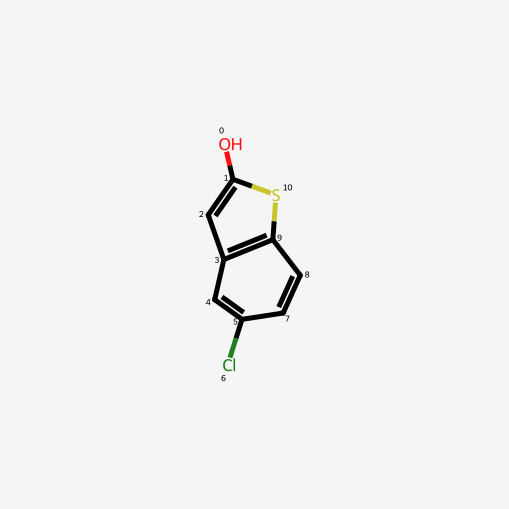 Oc1cc2cc(Cl)ccc2s1